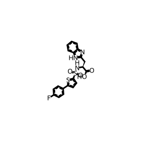 O=C(O)[C@H](Cc1nc2ccccc2[nH]1)NS(=O)(=O)c1ccc(-c2ccc(F)cc2)s1